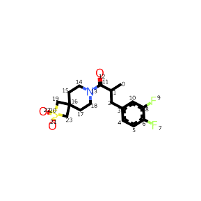 CC(Cc1ccc(F)c(F)c1)C(=O)N1CCC2(CC1)CS(=O)(=O)C2